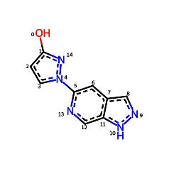 Oc1ccn(-c2cc3cn[nH]c3cn2)n1